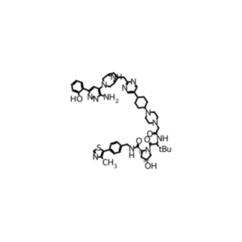 Cc1ncsc1-c1ccc(CNC(=O)[C@@H]2C[C@@H](O)CN2C(=O)C(NC(=O)CN2CCN(C3CCC(c4cnc(CC5CC6CN(c7cc(-c8ccccc8O)nnc7N)CC5N6)nc4)CC3)CC2)C(C)(C)C)cc1